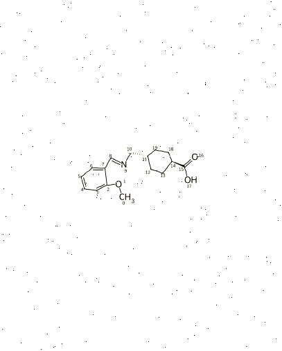 COc1ccccc1C=NC[C@H]1CC[C@H](C(=O)O)CC1